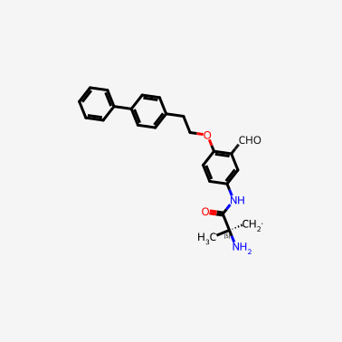 [CH2][C@@](C)(N)C(=O)Nc1ccc(OCCc2ccc(-c3ccccc3)cc2)c(C=O)c1